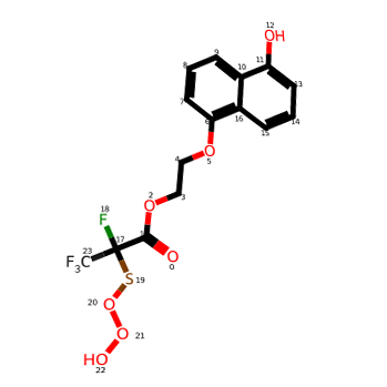 O=C(OCCOc1cccc2c(O)cccc12)C(F)(SOOO)C(F)(F)F